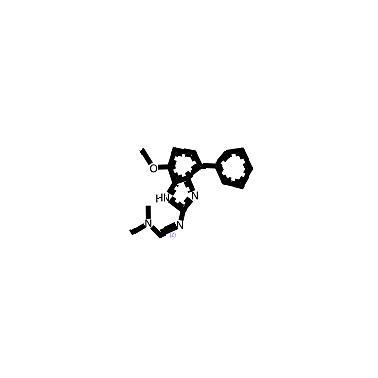 COc1ccc(-c2ccccc2)c2nc(/N=C\N(C)C)[nH]c12